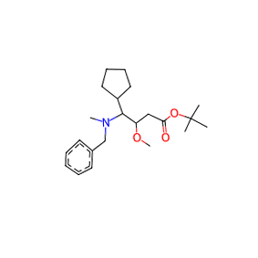 COC(CC(=O)OC(C)(C)C)C(C1CCCC1)N(C)Cc1ccccc1